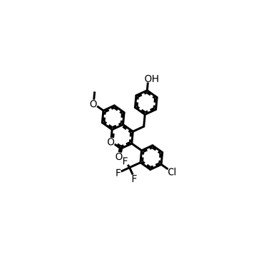 COc1ccc2c(Cc3ccc(O)cc3)c(-c3ccc(Cl)cc3C(F)(F)F)c(=O)oc2c1